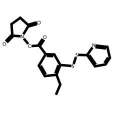 CCc1ccc(C(=O)ON2C(=O)CCC2=O)cc1SSc1ccccn1